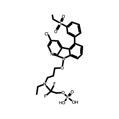 CCN(CCCOn1c2cccc(-c3cccc(S(=O)(=O)CC)c3)c2c2cc(Cl)cnc21)C(F)(F)COP(=O)(O)O